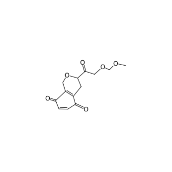 COCOCC(=O)C1CC2=C(CO1)C(=O)C=CC2=O